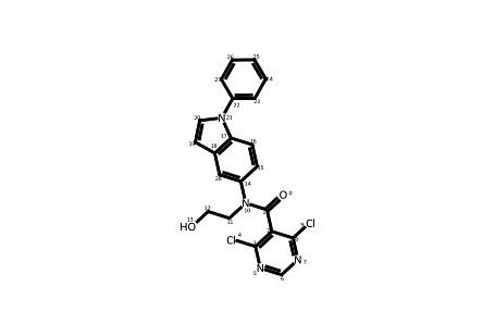 O=C(c1c(Cl)ncnc1Cl)N(CCO)c1ccc2c(ccn2-c2ccccc2)c1